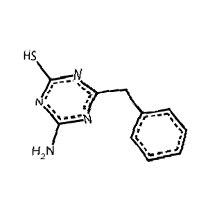 Nc1nc(S)nc(Cc2ccccc2)n1